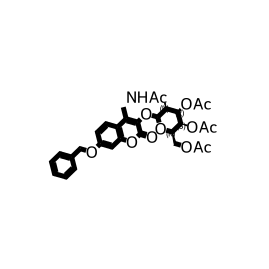 CC(=O)N[C@H]1C(Oc2c(C)c3ccc(OCc4ccccc4)cc3oc2=O)O[C@H](COC(C)=O)[C@@H](OC(C)=O)[C@@H]1OC(C)=O